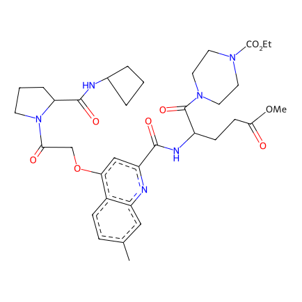 CCOC(=O)N1CCN(C(=O)C(CCC(=O)OC)NC(=O)c2cc(OCC(=O)N3CCCC3C(=O)NC3CCC3)c3ccc(C)cc3n2)CC1